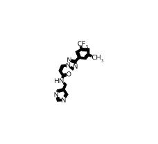 Cc1cc(-c2ncn(/C=C\C(=O)NCc3cncnc3)n2)cc(C(F)(F)F)c1